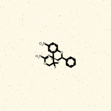 NC1=N[C@@]2(CC(c3ccccc3)Oc3ccc([N+](=O)[O-])cc32)C(F)(F)CO1